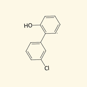 Oc1ccc[c]c1-c1cccc(Cl)c1